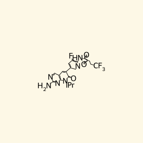 CC(C)n1c(=O)c(-c2cnc(NS(=O)(=O)CCC(F)(F)F)c(F)c2)cc2cnc(N)nc21